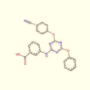 N#Cc1ccc(Oc2nc(Nc3cccc(C(=O)O)c3)nc(Oc3ccccc3)n2)cc1